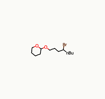 CCCCC(Br)CCCOC1CCCCO1